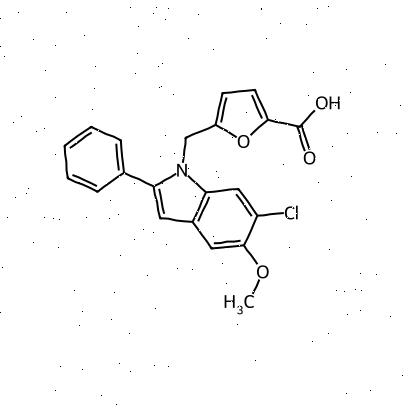 COc1cc2cc(-c3ccccc3)n(Cc3ccc(C(=O)O)o3)c2cc1Cl